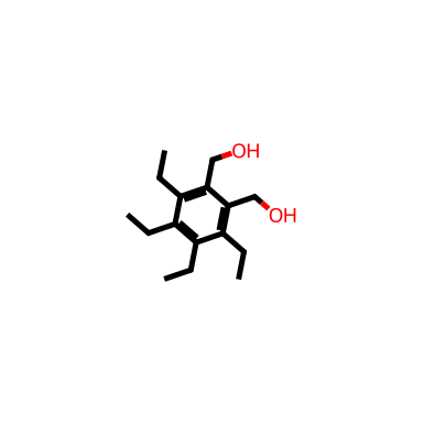 CCc1c(CC)c(CC)c(CO)c(CO)c1CC